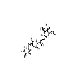 COc1cc(/C=C/C(=O)N2CC(C)N(Cc3ccc(F)cc3)CC2C)cc(Cl)c1OC